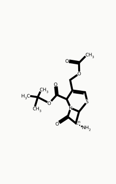 CC(=O)OCC1=CSC2[C@H](N)C(=O)N2C1C(=O)OC(C)(C)C